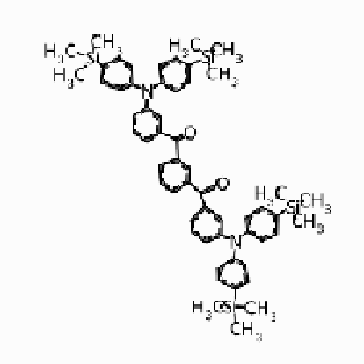 C[Si](C)(C)c1ccc(N(c2ccc([Si](C)(C)C)cc2)c2cccc(C(=O)c3cccc(C(=O)c4cccc(N(c5ccc([Si](C)(C)C)cc5)c5ccc([Si](C)(C)C)cc5)c4)c3)c2)cc1